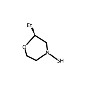 CC[C@H]1CN(S)CCO1